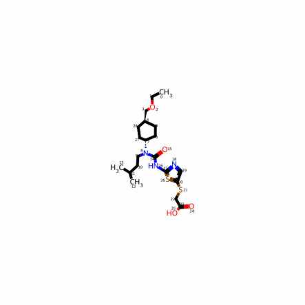 CCOC[C@H]1CC[C@H](N(CCC(C)C)C(=O)Nc2ncc(SCC(=O)O)s2)CC1